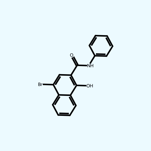 O=C(Nc1ccccc1)c1cc(Br)c2ccccc2c1O